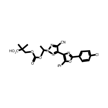 CC(C)c1oc(-c2ccc(Cl)cc2)nc1-c1nn(C(C)OC(=O)OCC(C)(C)C(=O)O)nc1C#N